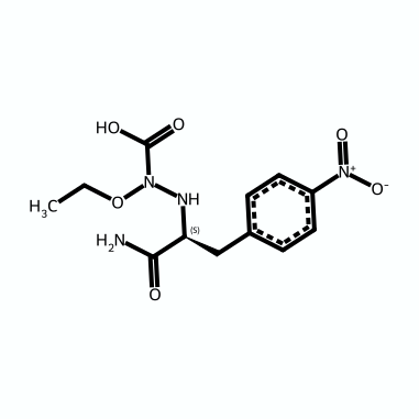 CCON(N[C@@H](Cc1ccc([N+](=O)[O-])cc1)C(N)=O)C(=O)O